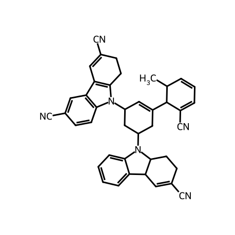 CC1C=CC=C(C#N)C1C1=CC(n2c3c(c4cc(C#N)ccc42)C=C(C#N)CC3)CC(N2c3ccccc3C3C=C(C#N)CCC32)C1